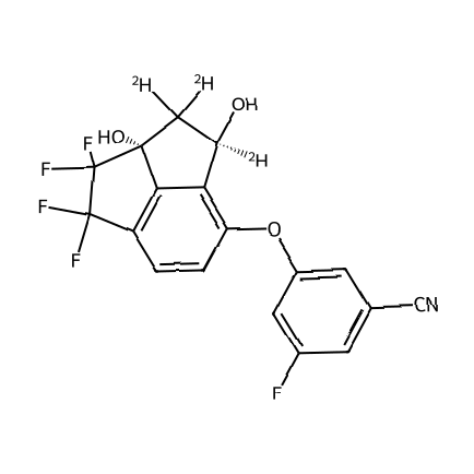 [2H]C1([2H])[C@@]2(O)c3c(ccc(Oc4cc(F)cc(C#N)c4)c3[C@]1([2H])O)C(F)(F)C2(F)F